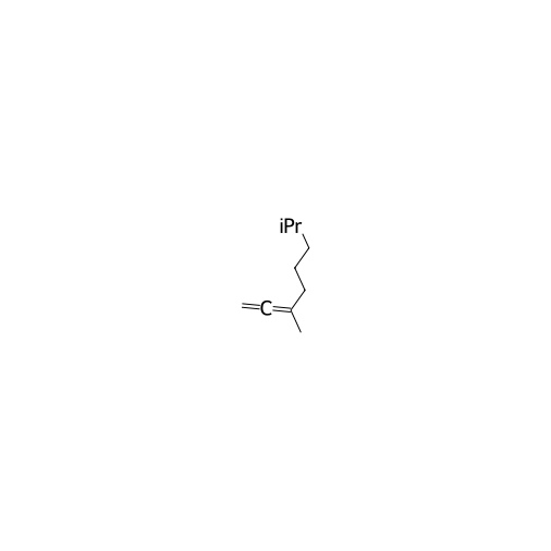 C=C=C(C)CCCC(C)C